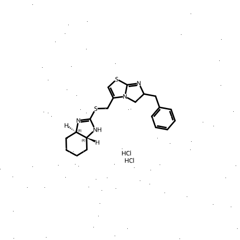 C1=C(CSC2=N[C@@H]3CCCC[C@H]3N2)N2CC(Cc3ccccc3)N=C2S1.Cl.Cl